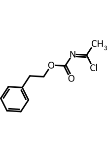 CC(Cl)=NC(=O)OCCc1ccccc1